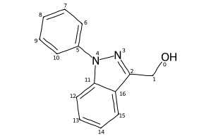 OCc1nn(-c2ccccc2)c2ccccc12